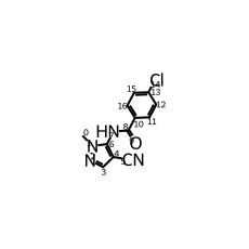 Cn1ncc(C#N)c1NC(=O)c1ccc(Cl)cc1